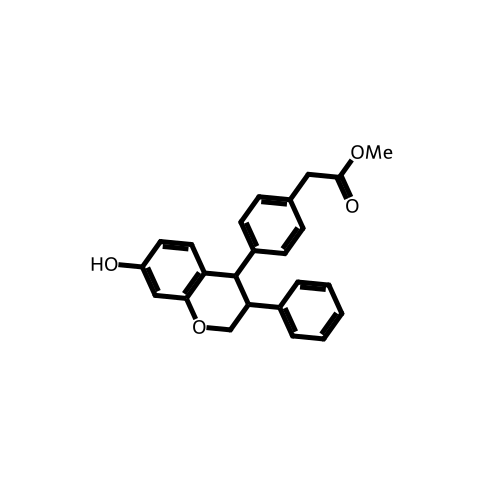 COC(=O)Cc1ccc(C2c3ccc(O)cc3OCC2c2ccccc2)cc1